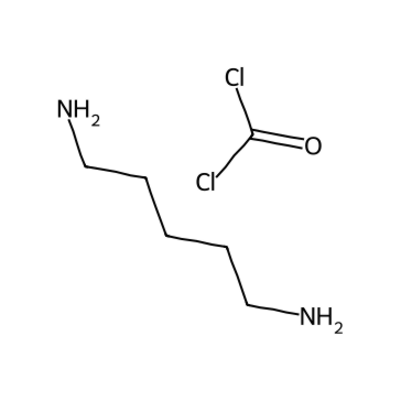 NCCCCCN.O=C(Cl)Cl